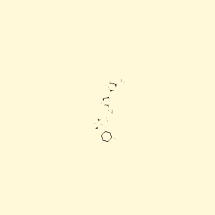 CCS(=O)(=O)N(CCNc1ncc(-c2nnc(C(F)F)o2)o1)c1cccc(Cl)c1